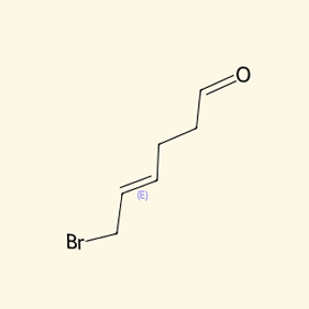 O=CCC/C=C/CBr